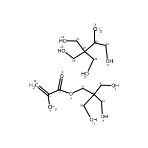 C=C(C)C(=O)OCC(CO)(CO)CO.CC(CO)C(CO)(CO)CO